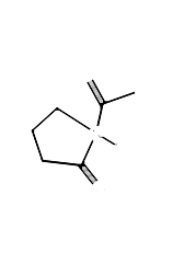 O=C([O-])[N+]1(Br)CCCC1=O